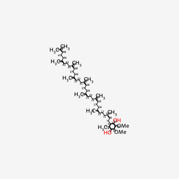 COc1c(O)c(C)c(CC=C(C)CCC=C(C)CCC=C(C)CCC=C(C)CCC=C(C)CCC=C(C)CCC=C(C)CCC=C(C)CCC=C(C)C)c(O)c1OC